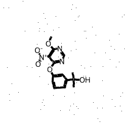 COc1ncnc(Oc2cccc(C(C)(C)O)c2)c1[N+](=O)[O-]